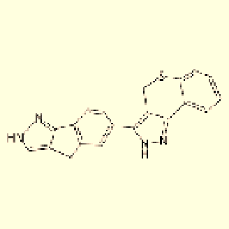 c1ccc2c(c1)SCc1c-2n[nH]c1-c1ccc2c(c1)Cc1c[nH]nc1-2